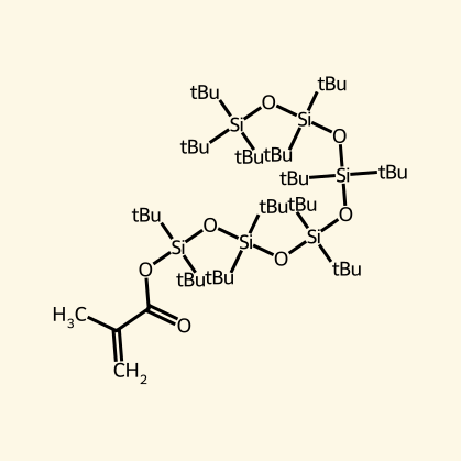 C=C(C)C(=O)O[Si](O[Si](O[Si](O[Si](O[Si](O[Si](C(C)(C)C)(C(C)(C)C)C(C)(C)C)(C(C)(C)C)C(C)(C)C)(C(C)(C)C)C(C)(C)C)(C(C)(C)C)C(C)(C)C)(C(C)(C)C)C(C)(C)C)(C(C)(C)C)C(C)(C)C